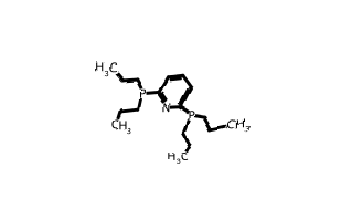 CCCP(CCC)c1cccc(P(CCC)CCC)n1